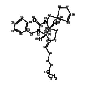 COCCCC=S1CC[C@@H]2[C@H]1N(Cc1ccccc1)C(=O)N2Cc1ccccc1